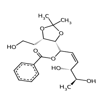 C[C@H](O)[C@H](O)/C=C\C(OC(=O)c1ccccc1)[C@H]1OC(C)(C)O[C@H]1CCO